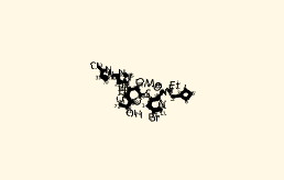 CCN(CC1CCC1)C(=O)c1ncc(Br)cc1S[C@H]1OC2C(O)CO[C@@H]2C(n2cc(-n3ccc(Cl)n3)nn2)C1OC